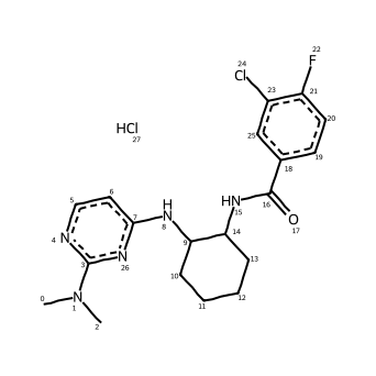 CN(C)c1nccc(NC2CCCCC2NC(=O)c2ccc(F)c(Cl)c2)n1.Cl